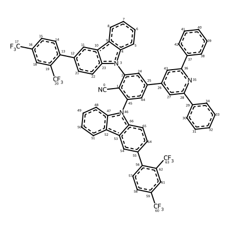 N#Cc1c(-n2c3ccccc3c3cc(-c4ccc(C(F)(F)F)cc4C(F)(F)F)ccc32)cc(-c2cc(-c3ccccc3)nc(-c3ccccc3)c2)cc1-n1c2ccccc2c2cc(-c3ccc(C(F)(F)F)cc3C(F)(F)F)ccc21